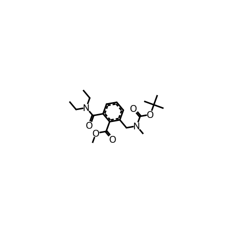 CCN(CC)C(=O)c1cccc(CN(C)C(=O)OC(C)(C)C)c1C(=O)OC